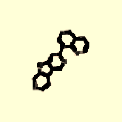 c1cnc2c(-c3cc4oc5cnccc5c4cn3)cccc2c1